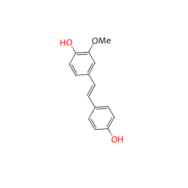 COc1cc(C=Cc2ccc(O)cc2)ccc1O